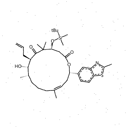 C=CC[C@H]1C(=O)C(C)(C)[C@@H](O[Si](C)(C)C(C)(C)C)CC(=O)O[C@H](c2ccc3sc(C)nc3c2)C/C=C(/C)CCC[C@H](C)[C@@H]1O